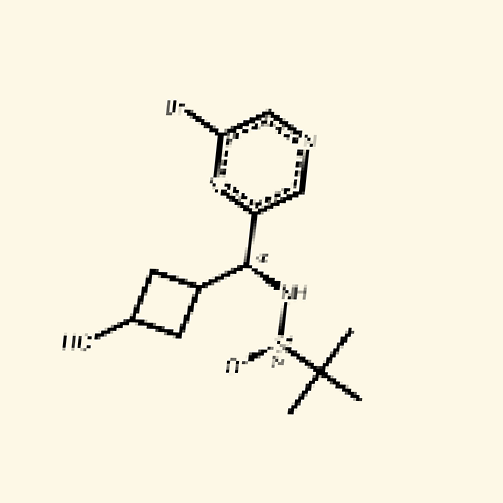 CC(C)(C)[S@@+]([O-])N[C@H](c1cncc(Br)n1)C1CC(O)C1